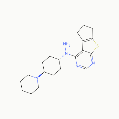 NN(c1ncnc2sc3c(c12)CCC3)[C@H]1CC[C@H](N2CCCCC2)CC1